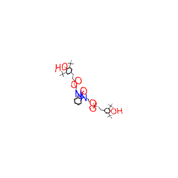 CC(C)(C)c1cc(CCC(=O)OCCn2c(=O)n(CCOC(=O)CCc3cc(C(C)(C)C)c(O)c(C(C)(C)C)c3)c3ccccc32)cc(C(C)(C)C)c1O